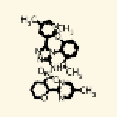 COc1cccc(OC)c1-n1c(NS(=O)(=O)C2CCCOC2c2ncc(C)cn2)nnc1-c1cncc(C)c1